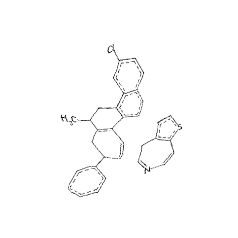 C1=Cc2sccc2CC=N1.CC1Cc2c(ccc3ccc(Cl)cc23)C2=C1CC(c1ccccc1)C=C2